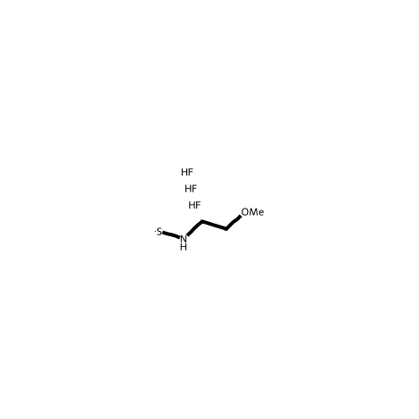 COCCN[S].F.F.F